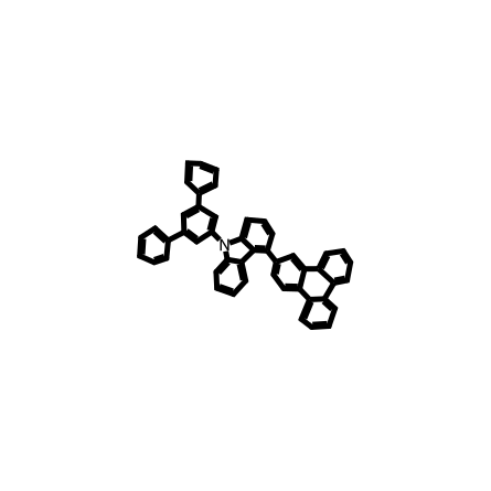 c1ccc(-c2cc(-c3ccccc3)cc(-n3c4ccccc4c4c(-c5ccc6c7ccccc7c7ccccc7c6c5)cccc43)c2)cc1